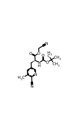 Cc1cc(C[C@H](NC(=O)OC(C)(C)C)C(=O)OCC#N)cnc1C#N